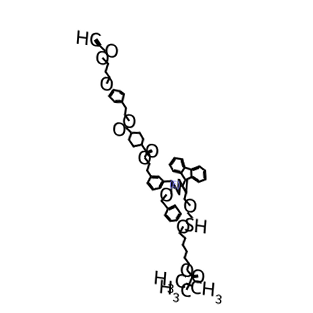 C#CC(=O)OCCCOc1ccc(CCOC(=O)C2CCC(C(=O)OCCc3ccc(OCc4ccc(OCCCCCCOC(=O)C(C)(C)C)cc4)c(/C=N/N(CCOCCS)C4c5ccccc5-c5ccccc54)c3)CC2)cc1